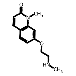 CNCCOc1ccc2ccc(=O)n(C)c2c1